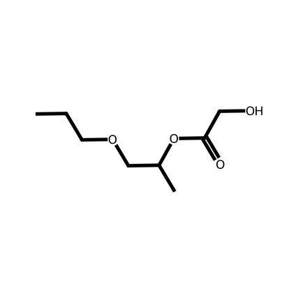 CCCOCC(C)OC(=O)CO